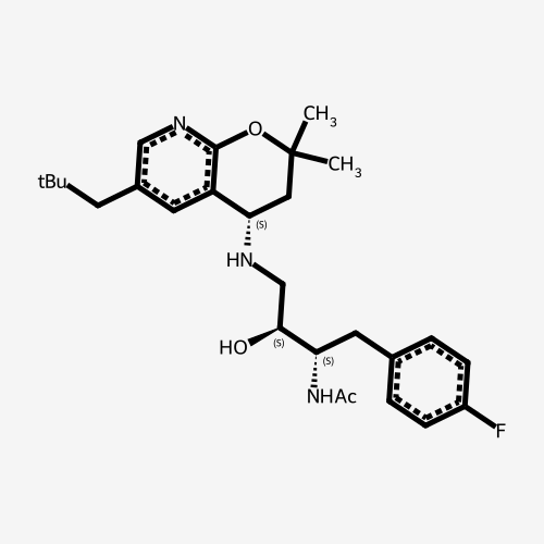 CC(=O)N[C@@H](Cc1ccc(F)cc1)[C@@H](O)CN[C@H]1CC(C)(C)Oc2ncc(CC(C)(C)C)cc21